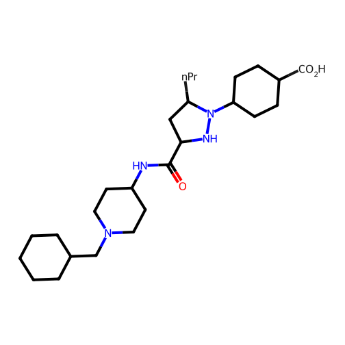 CCCC1CC(C(=O)NC2CCN(CC3CCCCC3)CC2)NN1C1CCC(C(=O)O)CC1